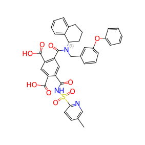 Cc1ccc(S(=O)(=O)NC(=O)c2cc(C(=O)N(Cc3cccc(Oc4ccccc4)c3)[C@H]3CCCc4ccccc43)c(C(=O)O)cc2C(=O)O)nc1